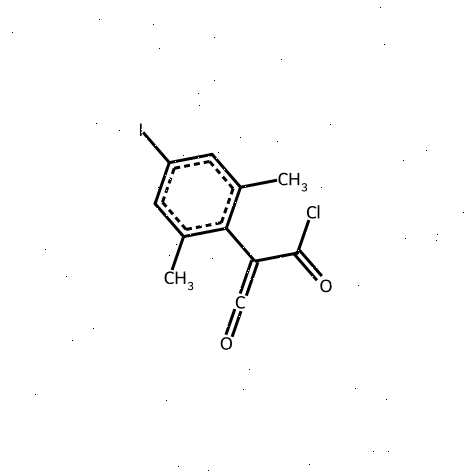 Cc1cc(I)cc(C)c1C(=C=O)C(=O)Cl